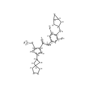 O=C(Nc1cc(F)c(OC2CC3CC3C2)c(F)c1)c1nc(N2CC3(CCCC3)C2)oc1CC(F)(F)F